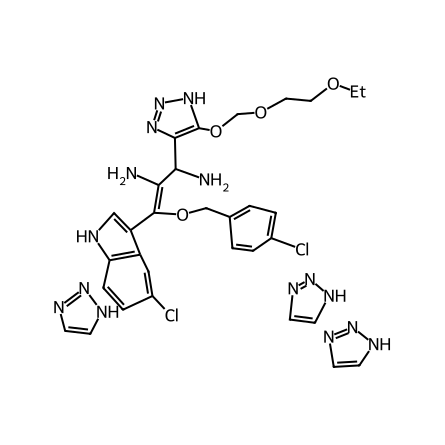 CCOCCOCOc1[nH]nnc1C(N)C(N)=C(OCc1ccc(Cl)cc1)c1c[nH]c2ccc(Cl)cc12.c1c[nH]nn1.c1c[nH]nn1.c1c[nH]nn1